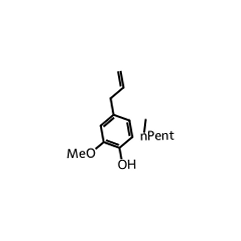 C=CCc1ccc(O)c(OC)c1.CCCCCC